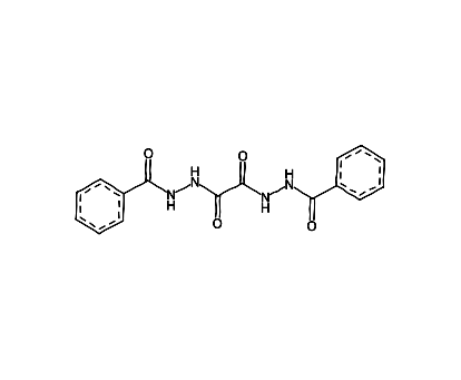 O=C(NNC(=O)c1ccccc1)C(=O)NNC(=O)c1ccccc1